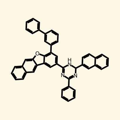 c1ccc(C2=NC(c3ccc4ccccc4c3)NC(c3cc(-c4cccc(-c5ccccc5)c4)c4oc5cc6ccccc6cc5c4c3)=N2)cc1